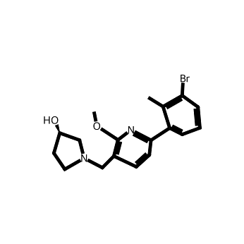 COc1nc(-c2cccc(Br)c2C)ccc1CN1CC[C@@H](O)C1